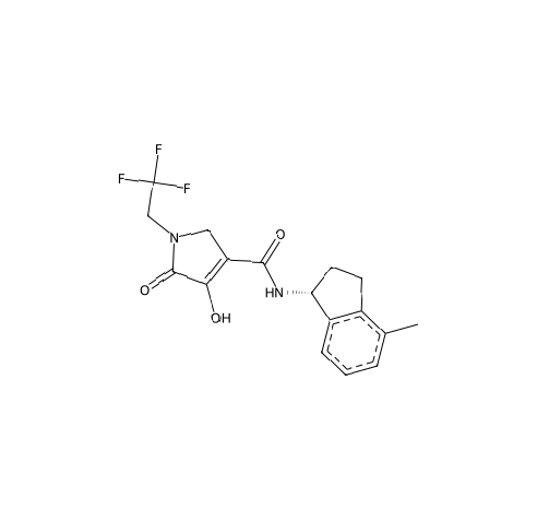 Cc1cccc2c1CC[C@H]2NC(=O)C1=C(O)C(=O)N(CC(F)(F)F)C1